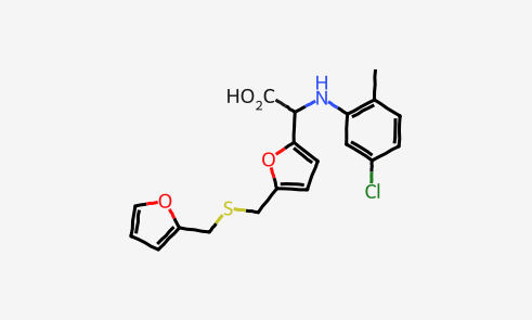 Cc1ccc(Cl)cc1NC(C(=O)O)c1ccc(CSCc2ccco2)o1